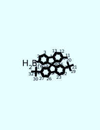 Bc1ccc2c(c1)C1(c3cc(C)ccc3-2)c2cc(C(C)(C)C)ccc2-c2ccc(C(C)(C)C)cc21